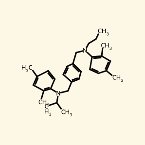 CCCN(Cc1ccc(CN(c2ccc(C)cc2C)C(C)C)cc1)c1ccc(C)cc1C